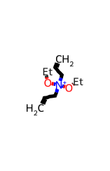 C=CC[N+](CC=C)(OCC)OCC